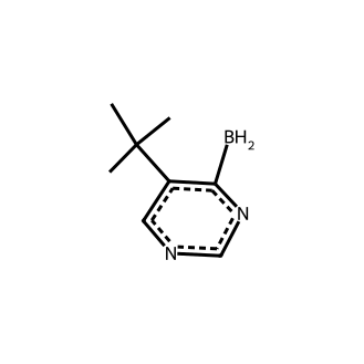 Bc1ncncc1C(C)(C)C